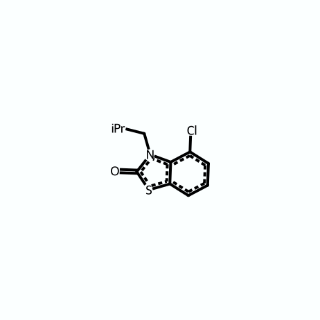 CC(C)Cn1c(=O)sc2cccc(Cl)c21